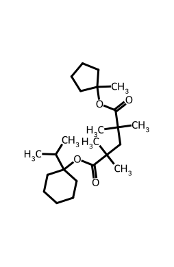 CC(C)C1(OC(=O)C(C)(C)CC(C)(C)C(=O)OC2(C)CCCC2)CCCCC1